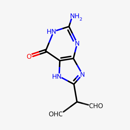 Nc1nc2nc(C(C=O)C=O)[nH]c2c(=O)[nH]1